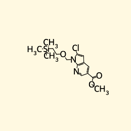 COC(=O)c1cnc2c(c1)cc(Cl)n2COCC[Si](C)(C)C